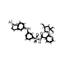 CC(=O)N1CCc2cc(Nc3cccc(S(=O)(=O)NC(=O)c4cccnc4N4CC(C)CC4(C)C)c3)ccc21